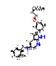 COCCOc1cccc(-c2cc3cc(NCc4ccccc4C)cnc3[nH]2)c1